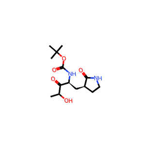 CC(O)C(=O)[C@H](C[C@@H]1CCNC1=O)NC(=O)OC(C)(C)C